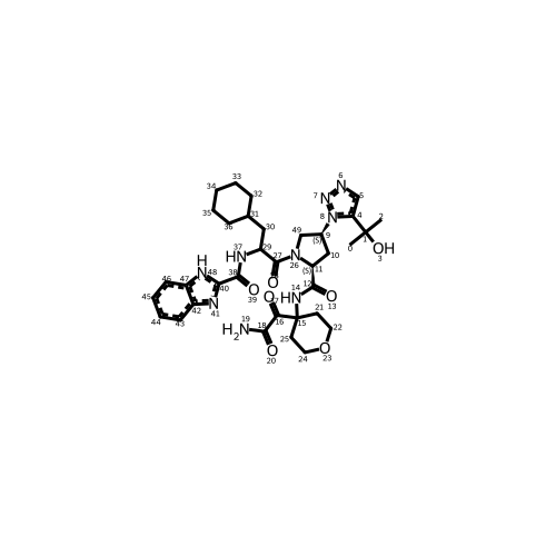 CC(C)(O)c1cnnn1[C@H]1C[C@@H](C(=O)NC2(C(=O)C(N)=O)CCOCC2)N(C(=O)C(CC2CCCCC2)NC(=O)c2nc3ccccc3[nH]2)C1